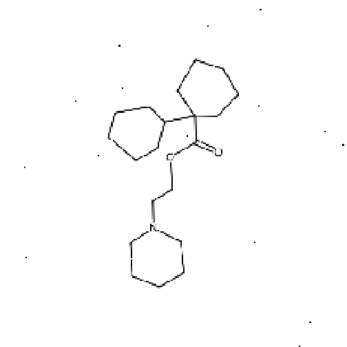 O=C(OCCN1CCCCC1)C1(C2CCCCC2)CCCCC1